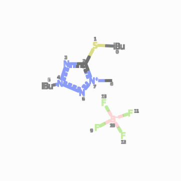 CCC(C)Sc1nn(C(C)CC)n[n+]1C.F[B-](F)(F)F